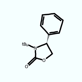 CC(C)(C)N1C(=O)OC[C@H]1c1ccccc1